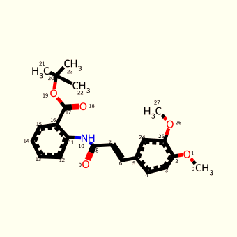 COc1ccc(/C=C/C(=O)Nc2ccccc2C(=O)OC(C)(C)C)cc1OC